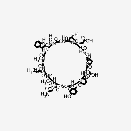 CCCC[C@H]1C(=O)N[C@@H](C)C(=O)N[C@H](C(=O)NCC(N)=O)CSCC(=O)N[C@@H](Cc2ccc(O)cc2)C(=O)N2CCCC[C@H]2C(=O)N[C@@H](CC(=O)O)C(=O)N2CCC[C@H]2C(=O)NCC(=O)N[C@@H](CCC(=O)O)C(=O)N2C[C@H](O)C[C@H]2C(=O)NCC(=O)N[C@@H](CO)C(=O)N[C@@H](Cc2c[nH]c3ccccc23)C(=O)N(C)CC(=O)N1C